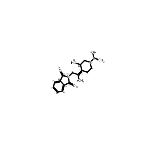 CB(O)N1CC/C(=C(\C)CN2C(=O)c3ccccc3C2=O)C(O)C1